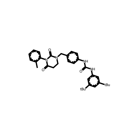 Cc1ccccc1N1C(=O)CCN(Cc2ccc(NC(=O)Nc3cc(C(C)(C)C)cc(C(C)(C)C)c3)cc2)C1=O